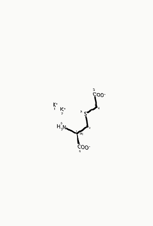 N[C@@H](CSCC(=O)[O-])C(=O)[O-].[K+].[K+]